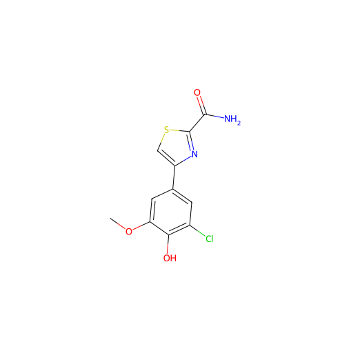 COc1cc(-c2csc(C(N)=O)n2)cc(Cl)c1O